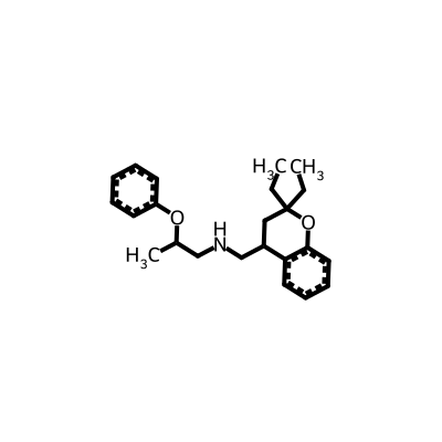 CCC1(CC)CC(CNCC(C)Oc2ccccc2)c2ccccc2O1